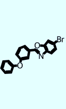 Brc1ccc2nc(-c3cccc(Oc4ccccc4)c3)oc2c1